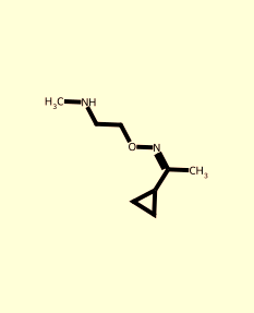 CNCCO/N=C(/C)C1CC1